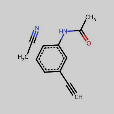 C#Cc1cccc(NC(C)=O)c1.CC#N